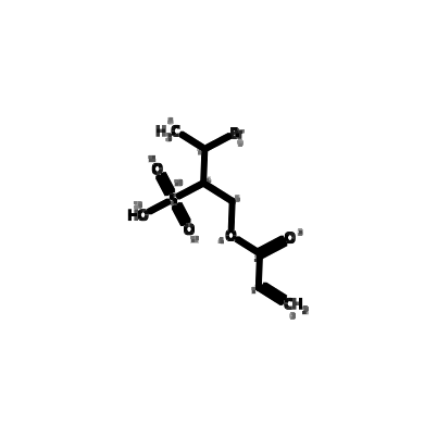 C=CC(=O)OCC(C(C)Br)S(=O)(=O)O